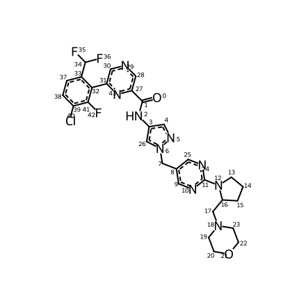 O=C(Nc1cnn(Cc2cnc(N3CCCC3CN3CCOCC3)nc2)c1)c1cncc(-c2c(C(F)F)ccc(Cl)c2F)n1